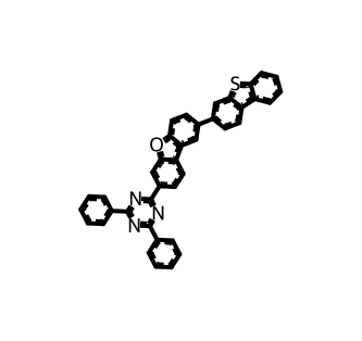 c1ccc(-c2nc(-c3ccccc3)nc(-c3ccc4c(c3)oc3ccc(-c5ccc6c(c5)sc5ccccc56)cc34)n2)cc1